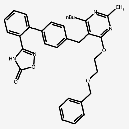 CCCCc1nc(C)nc(OCCOCc2ccccc2)c1Cc1ccc(-c2ccccc2-c2noc(=O)[nH]2)cc1